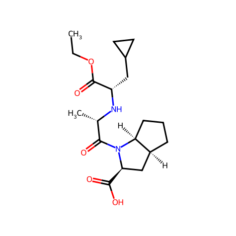 CCOC(=O)[C@H](CC1CC1)N[C@@H](C)C(=O)N1[C@H](C(=O)O)C[C@@H]2CCC[C@@H]21